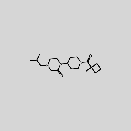 CC(C)CN1CCN(C2CCN(C(=O)C3(C)CCC3)CC2)C(=O)C1